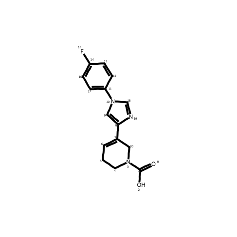 O=C(O)N1CCC=C(c2cn(-c3ccc(F)cc3)cn2)C1